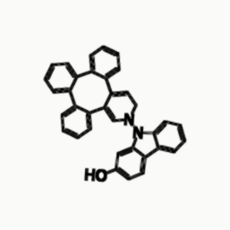 Oc1ccc2c3ccccc3n(N3C=C4C(=CC3)c3ccccc3-c3ccccc3-c3ccccc34)c2c1